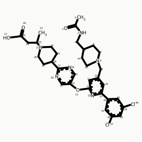 CC(=O)NCC1CCN(Cc2cc(Oc3cnc(C4CCN(C(C)CC(=O)O)CC4)nc3)nc(-c3cc(Cl)cc(Cl)c3)c2)CC1